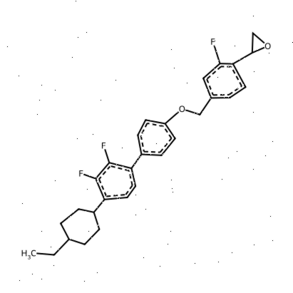 CCC1CCC(c2ccc(-c3ccc(OCc4ccc(C5CO5)c(F)c4)cc3)c(F)c2F)CC1